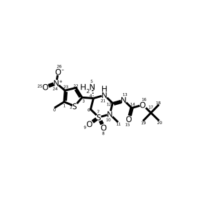 Cc1sc([C@]2(N)CS(=O)(=O)N(C)/C(=N\C(=O)OC(C)(C)C)N2)cc1[N+](=O)[O-]